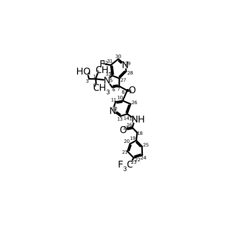 CC(C)(CO)n1cc(C(=O)c2cncc(NC(=O)Cc3ccc(C(F)(F)F)cc3)c2)c2cncc(F)c21